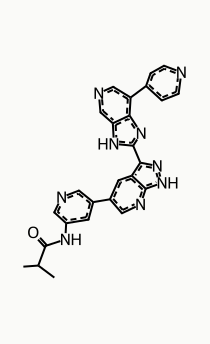 CC(C)C(=O)Nc1cncc(-c2cnc3[nH]nc(-c4nc5c(-c6ccncc6)cncc5[nH]4)c3c2)c1